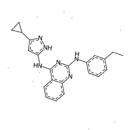 CCc1cccc(Nc2nc(Nc3cc(C4CC4)n[nH]3)c3ccccc3n2)c1